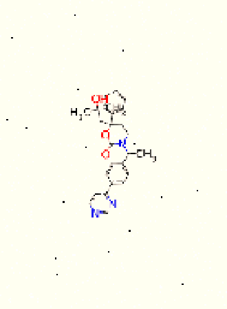 C[C@@H](c1ccc(-c2ccncn2)cc1)N1CCC(CC(C)(C)O)(c2ccccc2)OC1=O